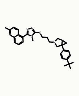 Cc1ccc2c(-c3nnc(SCCCN4CC5CC5(c5ccc(C(C)(C)C)cc5)C4)n3C)cccc2n1